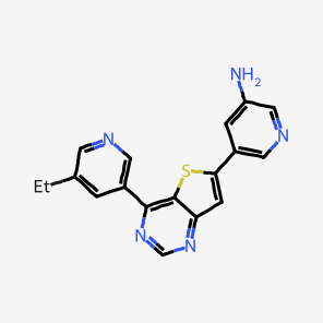 CCc1cncc(-c2ncnc3cc(-c4cncc(N)c4)sc23)c1